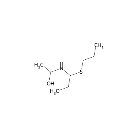 CCCSC(CC)NC(C)O